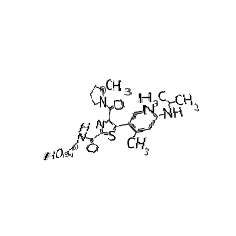 Cc1cc(NC(C)C)ncc1-c1sc(C(=O)N[C@H]2C[C@@H]2O)nc1C(=O)N1CCC[C@@H]1C